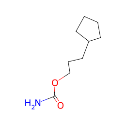 NC(=O)OCCCC1CCCC1